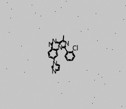 Cc1nc(-c2ccccc2Cl)n2c1nnc1ccc(-n3ccnc3)cc12